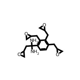 NC(N)(CC1CO1)c1ccc(CC2CO2)c(CC2CO2)c1CC1CO1